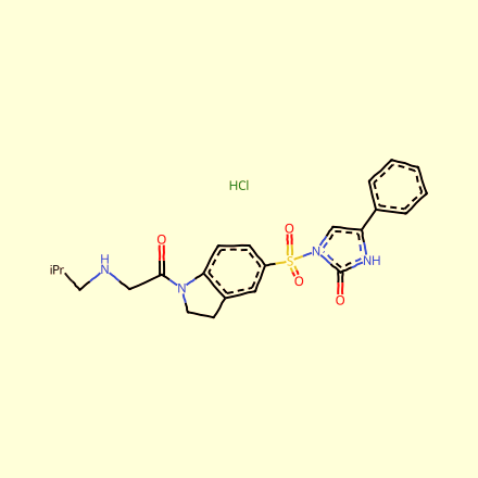 CC(C)CNCC(=O)N1CCc2cc(S(=O)(=O)n3cc(-c4ccccc4)[nH]c3=O)ccc21.Cl